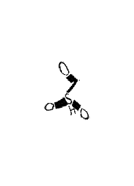 O=[C][SH](=O)=O